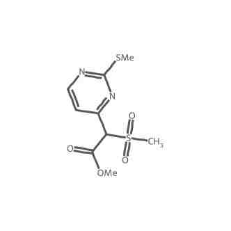 COC(=O)C(c1ccnc(SC)n1)S(C)(=O)=O